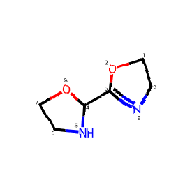 C1COC(C2NCCO2)=N1